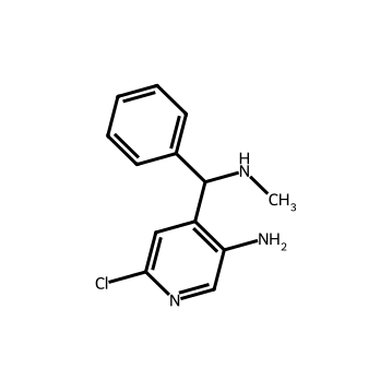 CNC(c1ccccc1)c1cc(Cl)ncc1N